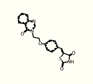 O=C1NC(=O)C(=Cc2ccc(OCCn3cnc4ccccc4c3=O)cc2)S1